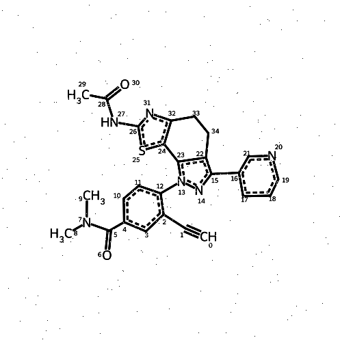 C#Cc1cc(C(=O)N(C)C)ccc1-n1nc(-c2cccnc2)c2c1-c1sc(NC(C)=O)nc1CC2